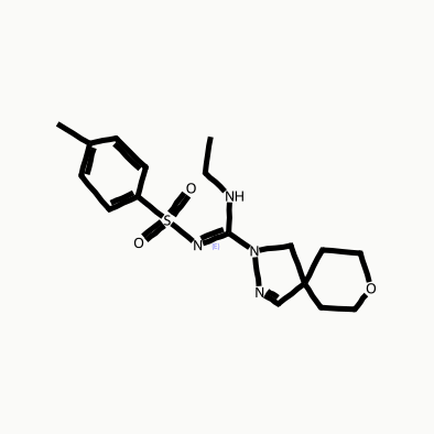 CCN/C(=N\S(=O)(=O)c1ccc(C)cc1)N1CC2(C=N1)CCOCC2